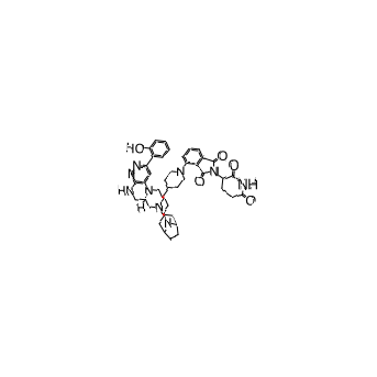 O=C1CCC(N2C(=O)c3cccc(N4CCC(CCCN5C6CCC5CC(N5CCN7c8cc(-c9ccccc9O)nnc8NC[C@H]7C5)C6)CC4)c3C2=O)C(=O)N1